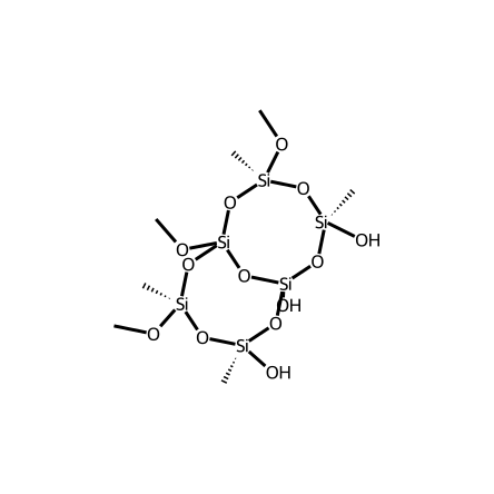 CO[Si]12O[Si](O)(O[Si@](C)(O)O[Si@](C)(OC)O1)O[Si@@](C)(O)O[Si@@](C)(OC)O2